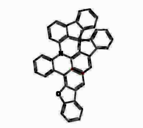 CC1(C)c2ccccc2-c2cccc(N(c3ccccc3-c3cccc4c3oc3ccccc34)c3cccc4c3C(C)(C)c3ccccc3-4)c21